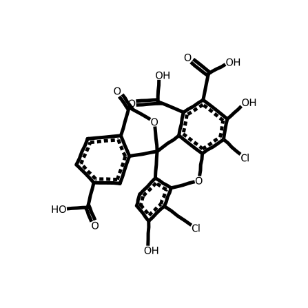 O=C(O)c1ccc2c(c1)C1(OC2=O)c2ccc(O)c(Cl)c2Oc2c(Cl)c(O)c(C(=O)O)c(C(=O)O)c21